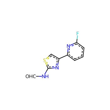 O=CNc1nc(-c2cccc(F)n2)cs1